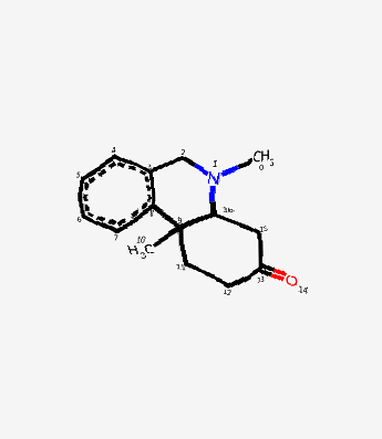 CN1Cc2ccccc2C2(C)CCC(=O)CC12